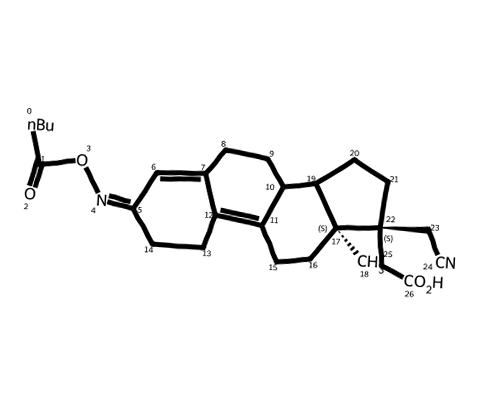 CCCCC(=O)ON=C1C=C2CCC3C(=C2CC1)CC[C@@]1(C)C3CC[C@]1(CC#N)CC(=O)O